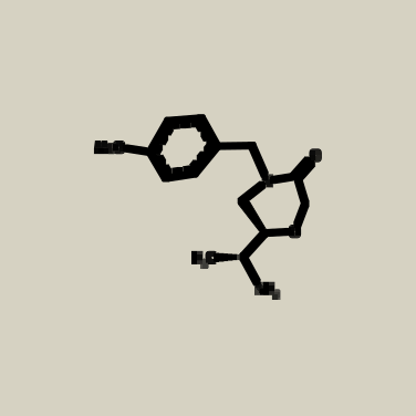 COc1ccc(CN2C[C@H]([C@@H](C)N)OCC2=O)cc1